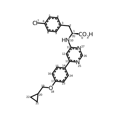 O=C(O)[C@H](Cc1ccc(Cl)cc1)Nc1cc(-c2ccc(OCC3CC3)cc2)ncn1